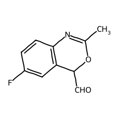 CC1=Nc2ccc(F)cc2C(C=O)O1